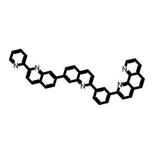 c1ccc(-c2ccc3ccc(-c4ccc5ccc(-c6cccc(-c7ccc8ccc9cccnc9c8n7)c6)nc5c4)cc3n2)nc1